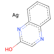 Oc1cnc2ccccc2n1.[Ag]